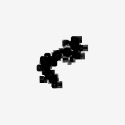 CCc1c2c(nc3ccc(O)cc13)-c1cc3c(c(=O)n1C2)COC(=O)[C@@]3(CC)OC(=O)N1CCN(Cc2ccc(-c3c(-c4cc(C(C)C)c(O)cc4O)n[nH]c3C)cc2)CC1